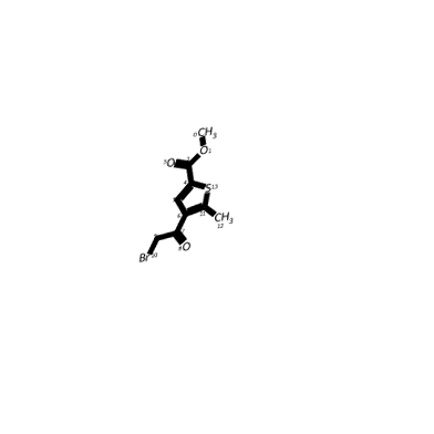 COC(=O)c1cc(C(=O)CBr)c(C)s1